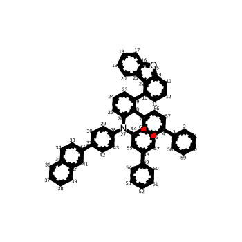 c1ccc(-c2ccc(-c3c(-c4cccc5oc6ccccc6c45)cccc3N(c3ccc(-c4ccc5ccccc5c4)cc3)c3cccc(-c4ccccc4)c3)cc2)cc1